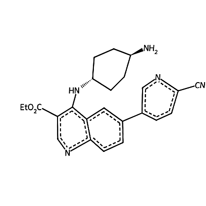 CCOC(=O)c1cnc2ccc(-c3ccc(C#N)nc3)cc2c1N[C@H]1CC[C@H](N)CC1